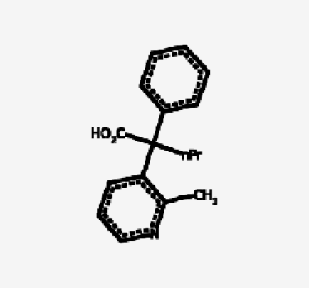 CCCC(C(=O)O)(c1ccccc1)c1cccnc1C